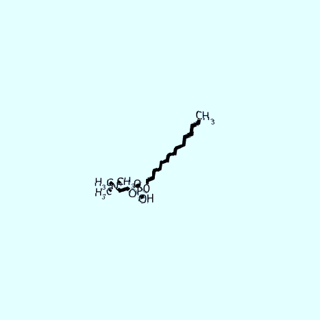 CCCCCCCCCCCCCCCOP(=O)(O)OCC[N+](C)(C)C